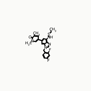 CCSNc1cc(-c2cc(C)c(=O)n(C)c2)cc2c1ncn2Cc1ccc(F)cc1F